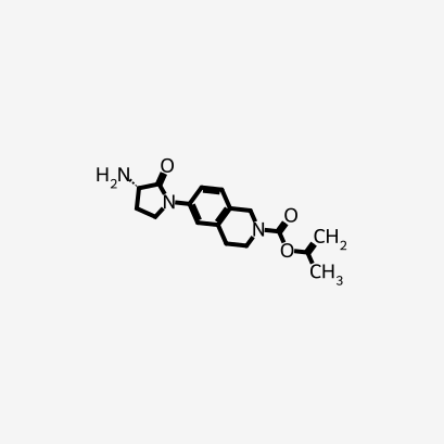 C=C(C)OC(=O)N1CCc2cc(N3CC[C@H](N)C3=O)ccc2C1